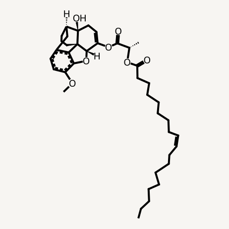 CCCCCCCC/C=C\CCCCCCCC(=O)O[C@@H](C)C(=O)OC1=CC[C@@]2(O)[C@@H]3CCC[C@@]24c2c(ccc(OC)c2O[C@@H]14)C3